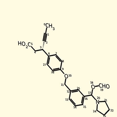 CC#C[C@@H](CC(=O)O)c1ccc(OCc2cccc(C(OC=O)N3CCCC3)c2)cc1